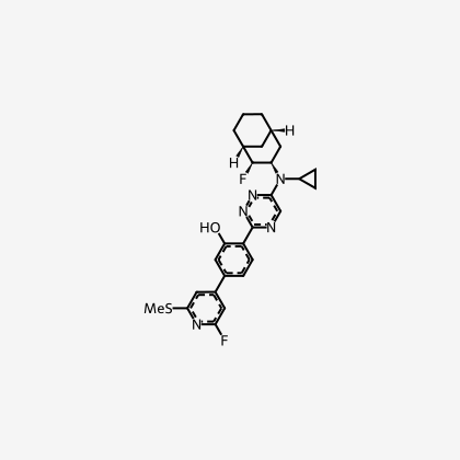 CSc1cc(-c2ccc(-c3ncc(N(C4CC4)[C@@H]4C[C@H]5CCC[C@H](C5)[C@@H]4F)nn3)c(O)c2)cc(F)n1